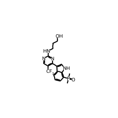 CP(C)(=O)c1cccc2c(-c3nc(NCCCO)ncc3C(F)(F)F)c[nH]c12